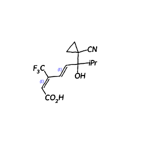 CC(C)C(O)(/C=C/C(=C\C(=O)O)C(F)(F)F)C1(C#N)CC1